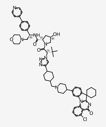 CC(C)(C)[C@@H](C(=O)N1C[C@H](O)C[C@H]1C(=O)N[C@@H](CN1CCOCC1)c1ccc(-c2ccncc2)cc1)n1cc(C2CCC(CN3CCC(c4ccc5c(c4)-n4c(nc(=O)c6c(Cl)cccc64)C54CCCCC4)CC3)CC2)nn1